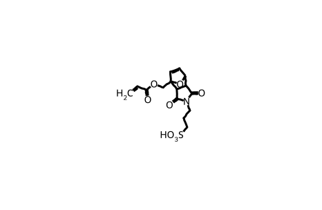 C=CC(=O)OCC12C=CC(O1)C1C(=O)N(CCCS(=O)(=O)O)C(=O)C12